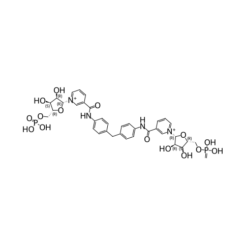 C=P(O)(O)OC[C@H]1O[C@@H]([n+]2cccc(C(=O)Nc3ccc(Cc4ccc(NC(=O)c5ccc[n+]([C@@H]6O[C@H](COP(=O)(O)O)[C@@H](O)[C@H]6O)c5)cc4)cc3)c2)[C@H](O)[C@@H]1O